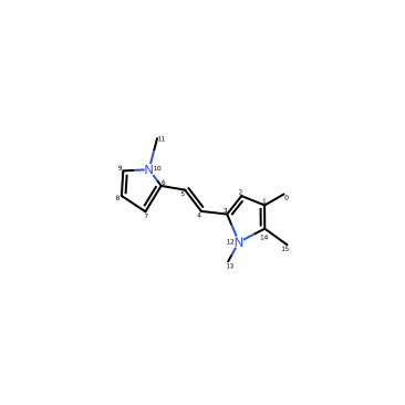 Cc1cc(C=Cc2cccn2C)n(C)c1C